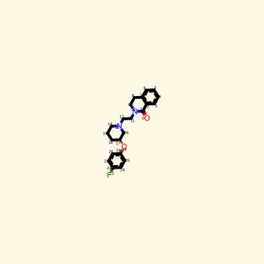 O=C1c2ccccc2CCN1CCN1CCC[C@H](Oc2ccc(F)cc2)C1